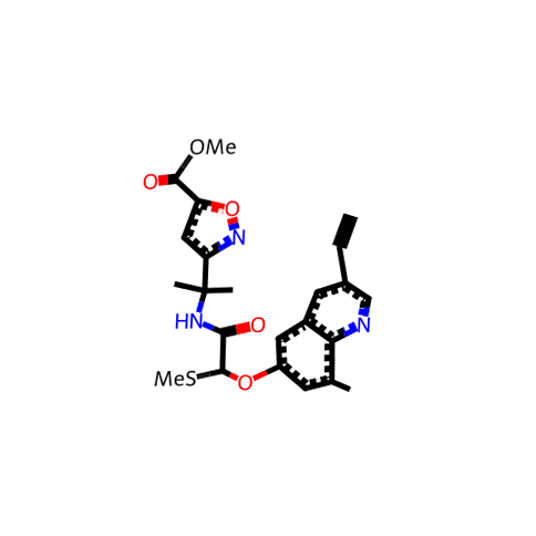 C#Cc1cnc2c(C)cc(OC(SC)C(=O)NC(C)(C)c3cc(C(=O)OC)on3)cc2c1